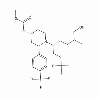 COC(=O)C[C@@H]1CCN([C@H](CCC(C)CO)CCC(F)(F)F)[C@H](c2ccc(C(F)(F)F)cc2)C1